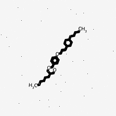 CCCCCCC1COC(c2ccc(OCC=CC3CCC(CCCCC)CC3)cc2)OC1